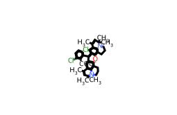 CC1=CC(C)(C)N2CCCc3c4c(cc1c32)C(c1c(Cl)ccc(Cl)c1C(=O)[O-])=c1cc2c3c(c1O4)CCC[N+]=3C(C)(C)C=C2C